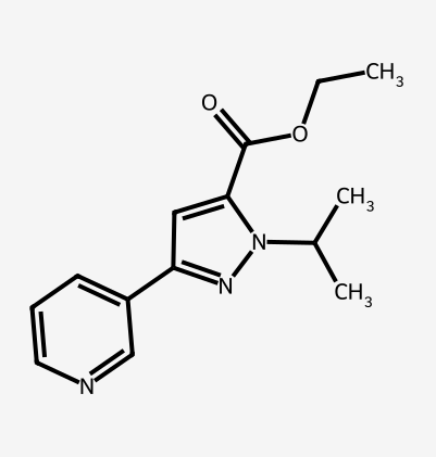 CCOC(=O)c1cc(-c2cccnc2)nn1C(C)C